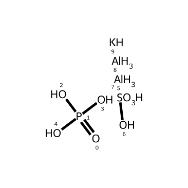 O=P(O)(O)O.O=S(=O)(O)O.[AlH3].[AlH3].[KH]